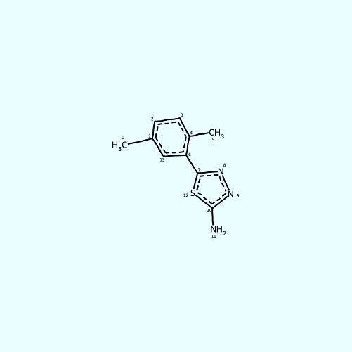 Cc1ccc(C)c(-c2nnc(N)s2)c1